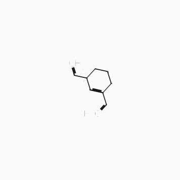 C=CC1=CC(C=C)CCC1